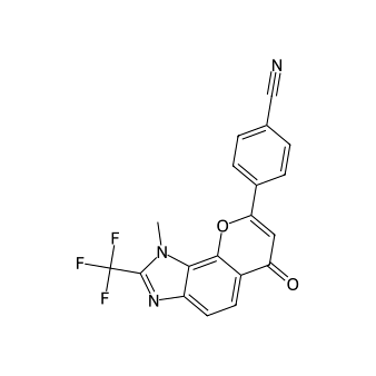 Cn1c(C(F)(F)F)nc2ccc3c(=O)cc(-c4ccc(C#N)cc4)oc3c21